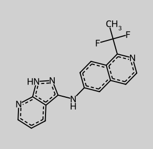 CC(F)(F)c1nccc2cc(Nc3n[nH]c4ncccc34)ccc12